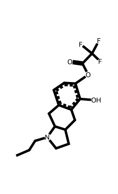 CCCN1CCC2Cc3c(ccc(OC(=O)C(F)(F)F)c3O)CC21